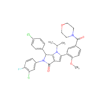 COc1ccc(C(=O)N2CCOCC2)cc1-c1cc2c(n1C(C)C)C(c1ccc(Cl)cc1)N(c1ccc(F)c(Cl)c1)C2=O